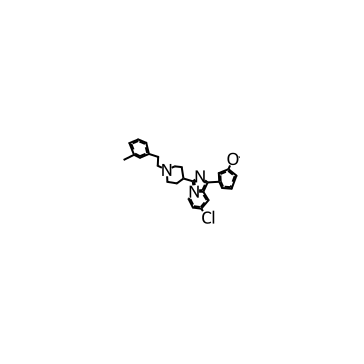 COc1cccc(-c2nc(C3CCN(CCc4cccc(C)c4)CC3)n3ccc(Cl)cc23)c1